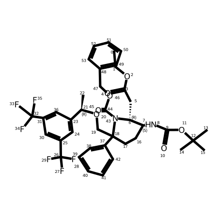 CCOC(=O)C[C@@H]1[C@@H](NC(=O)OC(C)(C)C)CCC(CO[C@H](C)c2cc(C(F)(F)F)cc(C(F)(F)F)c2)(c2ccccc2)N1C(=O)OCc1ccccc1